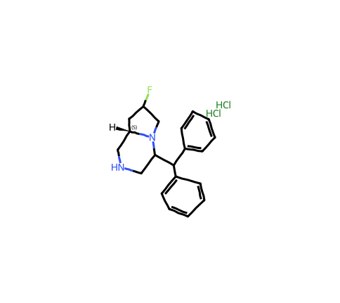 Cl.Cl.FC1C[C@H]2CNCC(C(c3ccccc3)c3ccccc3)N2C1